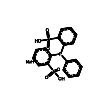 O=S(=O)(O)c1ccccc1P(c1ccccc1)c1ccccc1S(=O)(=O)O.[NaH]